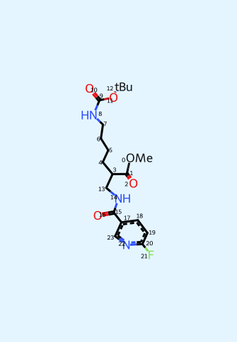 COC(=O)C(CCCCNC(=O)OC(C)(C)C)CNC(=O)c1ccc(F)nc1